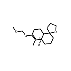 COCOC1=C(C)[C@H]2CCCC3(OCCO3)C2CC1